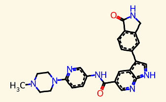 CN1CCN(c2ccc(NC(=O)c3cnc4[nH]cc(-c5ccc6c(c5)CNC6=O)c4c3)cn2)CC1